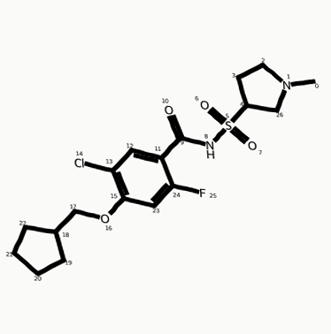 CN1CCC(S(=O)(=O)NC(=O)c2cc(Cl)c(OCC3CCCC3)cc2F)C1